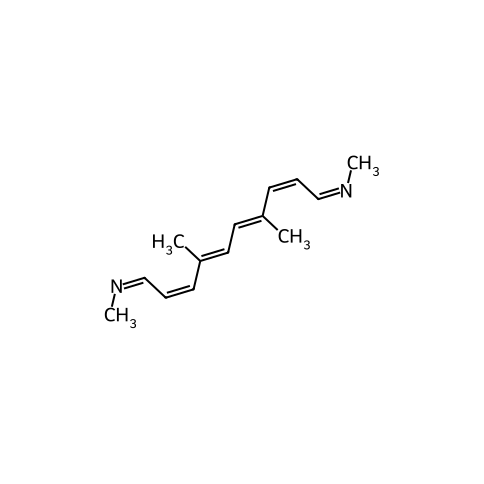 C\N=C/C=C\C(C)=C\C=C(C)\C=C/C=N\C